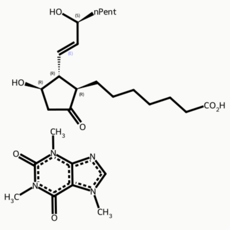 CCCCC[C@H](O)/C=C/[C@H]1[C@H](O)CC(=O)[C@@H]1CCCCCCC(=O)O.Cn1c(=O)c2c(ncn2C)n(C)c1=O